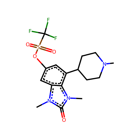 CN1CCC(c2cc(OS(=O)(=O)C(F)(F)F)cc3c2n(C)c(=O)n3C)CC1